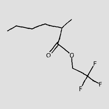 CCCCC(C)C(=O)OCC(F)(F)F